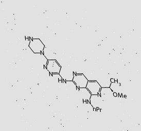 CCCNc1nc([C@@H](C)OC)cc2cnc(Nc3ccc(N4CCNCC4)nn3)nc12